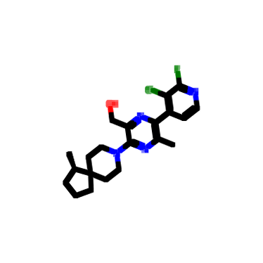 Cc1nc(N2CCC3(CCC[C@H]3C)CC2)c(CO)nc1-c1ccnc(F)c1Cl